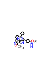 Cc1noc(C)c1-c1cnc2c(-c3ccc(C(=N)OC(C)C)cc3)cn([C@@H](c3ccccc3)c3ccccn3)c2c1